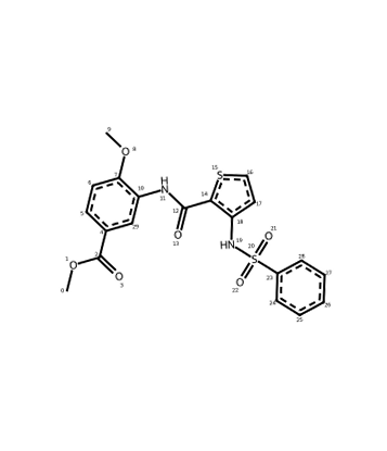 COC(=O)c1ccc(OC)c(NC(=O)c2sccc2NS(=O)(=O)c2ccccc2)c1